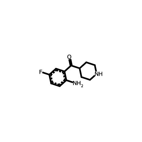 Nc1ccc(F)cc1C(=O)C1CCNCC1